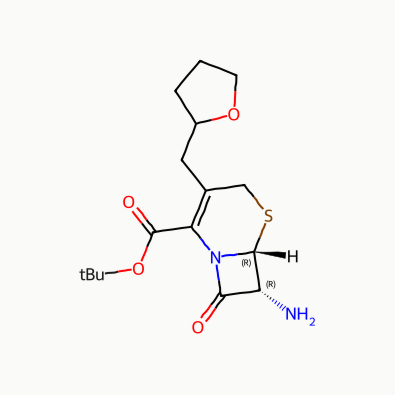 CC(C)(C)OC(=O)C1=C(CC2CCCO2)CS[C@@H]2[C@H](N)C(=O)N12